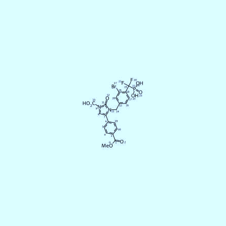 COC(=O)c1ccc(-c2cn(C(=O)O)c(=O)n2Cc2ccc(C(F)(F)P(=O)(O)O)c(Br)c2)cc1